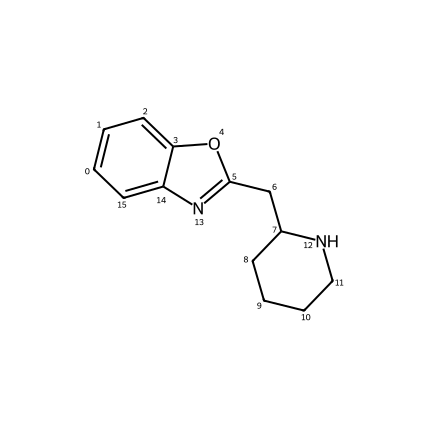 c1ccc2oc(CC3CCCCN3)nc2c1